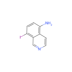 Nc1ccc(I)c2cnccc12